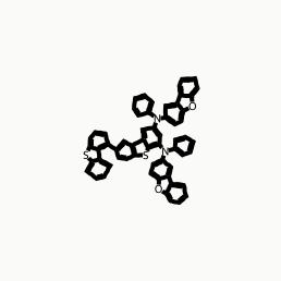 c1ccc(N(c2ccc3oc4ccccc4c3c2)c2cc(N(c3ccccc3)c3ccc4oc5ccccc5c4c3)c3sc4ccc(-c5cccc6sc7ccccc7c56)cc4c3c2)cc1